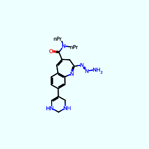 CCCN(CCC)C(=O)C1=Cc2ccc(C3=CNCNC3)cc2N=C(N=NN)C1